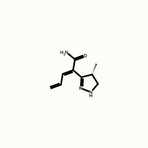 C=C/C=C(/C(N)=O)C1=NNC[C@H]1C